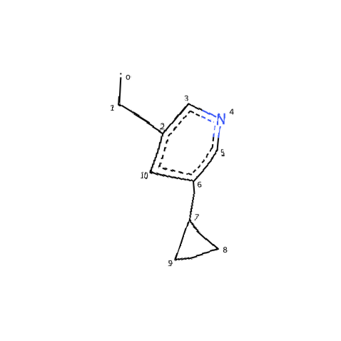 [CH2]Cc1cncc(C2CC2)c1